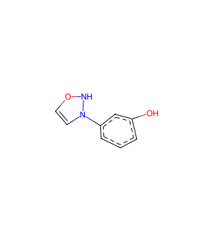 Oc1cccc(N2C=CON2)c1